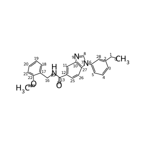 CCc1cccc(-n2cnc3cc(C(=O)NCc4ccccc4OC)ccc32)c1